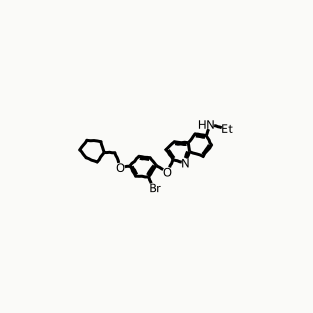 CCNc1ccc2nc(Oc3ccc(OCC4CCCCC4)cc3Br)ccc2c1